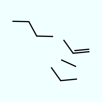 C=CC.CC.CCC.CCCC